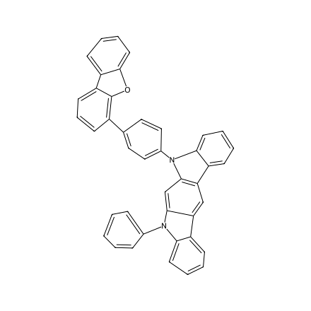 c1ccc(-n2c3ccccc3c3cc4c5ccccc5n(-c5ccc(-c6cccc7c6oc6ccccc67)cc5)c4cc32)cc1